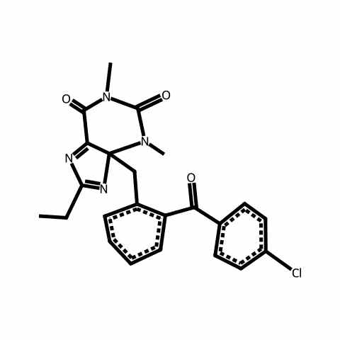 CCC1=NC2(Cc3ccccc3C(=O)c3ccc(Cl)cc3)C(=N1)C(=O)N(C)C(=O)N2C